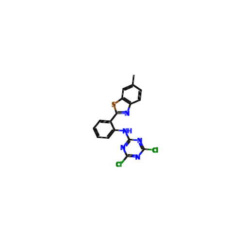 Cc1ccc2nc(-c3ccccc3Nc3nc(Cl)nc(Cl)n3)sc2c1